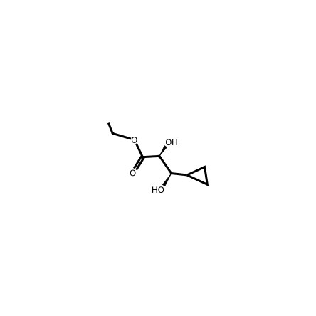 CCOC(=O)[C@@H](O)[C@H](O)C1CC1